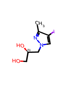 Cc1nn(C[C@H](O)CO)cc1I